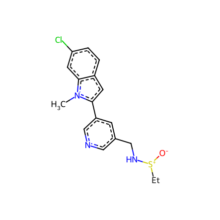 CC[S+]([O-])NCc1cncc(-c2cc3ccc(Cl)cc3n2C)c1